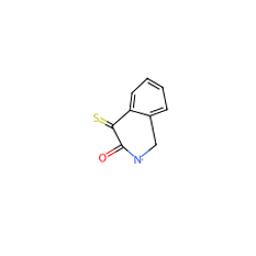 O=C1[N]Cc2ccccc2C1=S